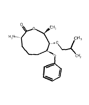 CC(C)CO[C@H]1[C@H](C)OC(=O)[C@@H](N)CCC[C@@H]1Oc1ccccc1